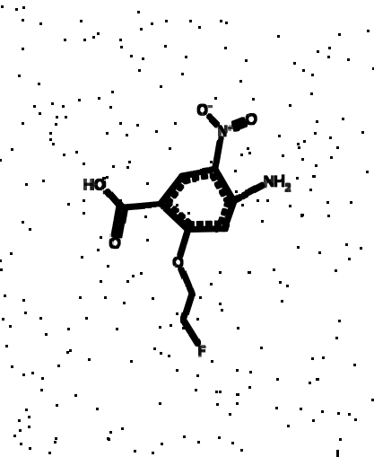 Nc1cc(OCCF)c(C(=O)O)cc1[N+](=O)[O-]